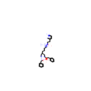 O=C(CCc1cccnc1)NCCCCC1CCN(C(=O)Cc2ccccc2)C(C(=O)Cc2ccccc2)C1